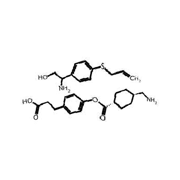 C=CCSc1ccc(C(N)CO)cc1.NC[C@H]1CC[C@H](C(=O)Oc2ccc(CCC(=O)O)cc2)CC1